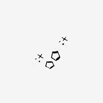 C1=CCC=C1.C1=CCC=C1.O=S(=O)(O)C(F)(F)F.O=S(=O)(O)C(F)(F)F